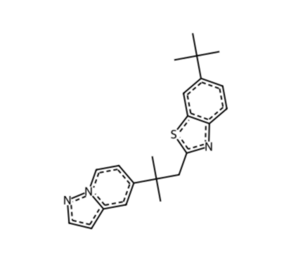 CC(C)(C)c1ccc2nc(CC(C)(C)c3ccn4nccc4c3)sc2c1